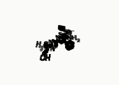 CN(CCO)c1ncc(-c2cc(-c3ccccc3)c3c(N)c([S@+]([O-])C4CCC4)sc3n2)cn1